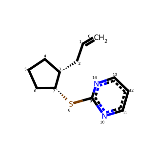 C=CC[C@H]1CCC[C@H]1Sc1ncccn1